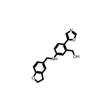 OCc1cc(NCc2ccc3c(c2)CCO3)ccc1-c1cnco1